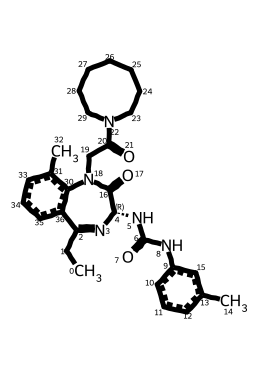 CCC1=N[C@@H](NC(=O)Nc2cccc(C)c2)C(=O)N(CC(=O)N2CCCCCCC2)c2c(C)cccc21